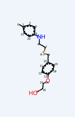 Cc1ccc(NCCSCc2ccc(OCCO)cc2)cc1